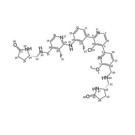 COc1nc(-c2ccnc(-c3cccc(Nc4nccc(CNC[C@@H]5CCC(=O)N5)c4F)c3F)c2Cl)ccc1CNC[C@@H]1CCC(=O)N1